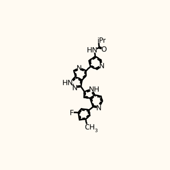 Cc1cc(F)cc(-c2nccc3[nH]c(-c4n[nH]c5cnc(-c6cncc(NC(=O)C(C)C)c6)cc45)cc23)c1